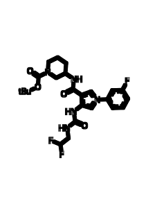 CC(C)(C)OC(=O)N1CCCC(NC(=O)c2cn(-c3cccc(F)c3)cc2NC(=O)NCC(F)F)C1